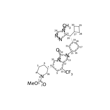 COC(=O)N1CCC[C@H](c2cc(C(F)(F)F)c3cn(-c4cccc([C@H](c5nncn5C)C5CCC5)c4)c(=O)n3c2)C1